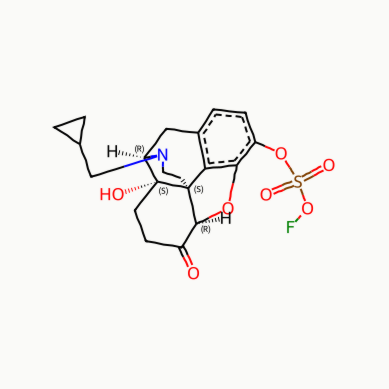 O=C1CC[C@@]2(O)[C@H]3Cc4ccc(OS(=O)(=O)OF)c5c4[C@@]2(CCN3CC2CC2)[C@H]1O5